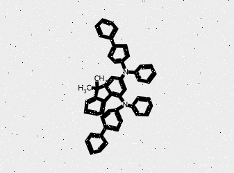 CC1(C)c2ccccc2-c2c(N(c3ccccc3)c3ccc(-c4ccccc4)cc3)cc(N(c3ccccc3)c3ccc(-c4ccccc4)cc3)cc21